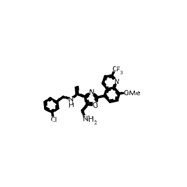 C=C(NCc1cccc(Cl)c1)c1nc(-c2ccc(OC)c3nc(C(F)(F)F)ccc23)oc1CN